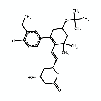 CCc1cc(C2=C(/C=C/[C@@H]3C[C@@H](O)CC(=O)O3)C(C)(C)CC(OC(C)(C)C)C2)ccc1Cl